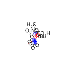 C=CCc1ccc(C(=O)O)c(N(Cc2ccc(-c3ccccc3-c3nnnn3C(c3ccccc3)(c3ccccc3)c3ccccc3)cc2)C(=O)OC(C)(C)C)c1[N+](=O)[O-]